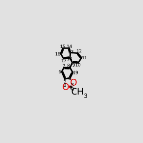 CC(=O)Oc1cccc(-c2cccc3ccccc23)c1